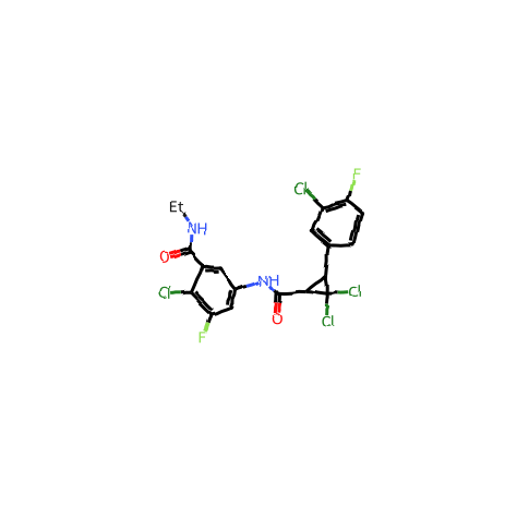 CCNC(=O)c1cc(NC(=O)C2C(c3ccc(F)c(Cl)c3)C2(Cl)Cl)cc(F)c1Cl